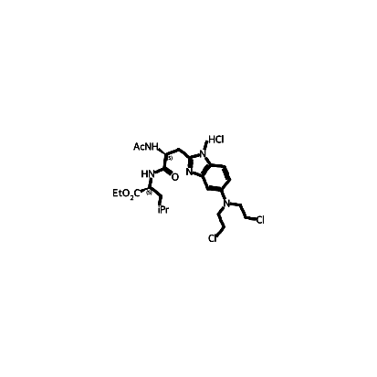 CCOC(=O)[C@H](CC(C)C)NC(=O)[C@H](Cc1nc2cc(N(CCCl)CCCl)ccc2n1C)NC(C)=O.Cl